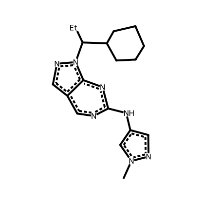 CCC(C1CCCCC1)n1ncc2cnc(Nc3cnn(C)c3)nc21